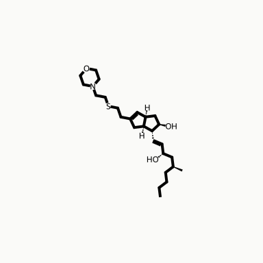 CCCC[C@H](C)C[C@H](O)/C=C/[C@@H]1[C@H]2CC(CCSCCN3CCOCC3)=C[C@H]2C[C@H]1O